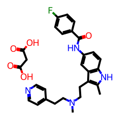 Cc1[nH]c2ccc(NC(=O)c3ccc(F)cc3)cc2c1CCN(C)CCc1ccncc1.O=C(O)CC(=O)O